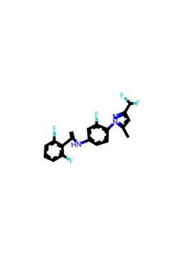 C=C(Nc1ccc(-n2nc(C(F)F)cc2C)c(F)c1)c1c(F)cccc1F